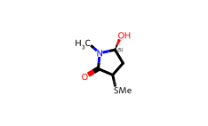 CSC1C[C@H](O)N(C)C1=O